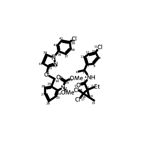 CCC1(C(=O)NC(C)c2ccc(Cl)cc2)C(C)C1(Cl)Cl.COC(=O)N(OC)c1ccccc1COc1ccn(-c2ccc(Cl)cc2)n1